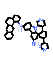 Nc1ccc2c(c1)c1cc(Nc3cccc4ccc5cc6ccccc6cc5c34)ccc1n2-c1cnccc1-c1ccc(-c2ccncc2)cc1